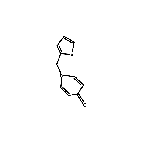 O=c1ccn(Cc2cccs2)cc1